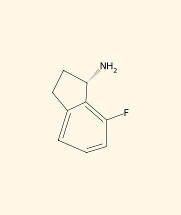 N[C@H]1CCc2cccc(F)c21